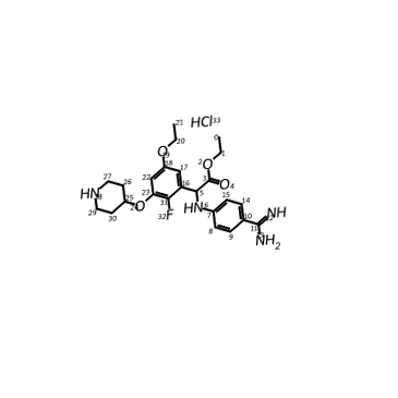 CCOC(=O)C(Nc1ccc(C(=N)N)cc1)c1cc(OCC)cc(OC2CCNCC2)c1F.Cl